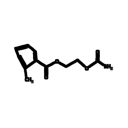 Cc1ccccc1C(=O)OCCOC(N)=O